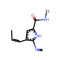 C=Nc1[nH]c(C(=O)NCC)cc1/C=C\C